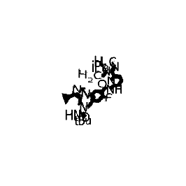 C=CN(/C(=N\C)c1cccc(NC(=O)c2cc3c(cc2F)CN(C(=O)NC(C)(C)C)Cc2c(C4CC4)ncn2-3)n1)C(C)C